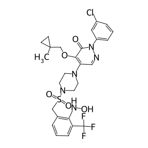 CC1(COc2c(N3CCN(S(=O)(=O)Cc4cccc(C(F)(F)F)c4NO)CC3)cnn(-c3cccc(Cl)c3)c2=O)CC1